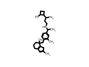 CCC1CCC1C(P)CCNC(C)c1ccc(CC2(C)CCCC3=C2CC(C)=C3)c(C)c1